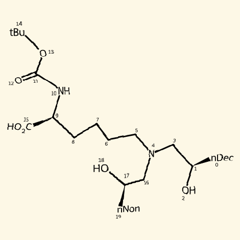 CCCCCCCCCC[C@@H](O)CN(CCCC[C@H](NC(=O)OC(C)(C)C)C(=O)O)C[C@H](O)CCCCCCCCC